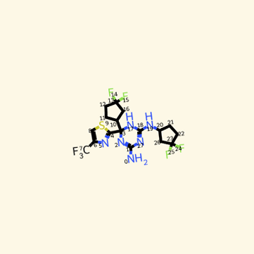 NC1=NC(c2nc(C(F)(F)F)cs2)(C2CCC(F)(F)C2)NC(NC2CCC(F)(F)C2)=N1